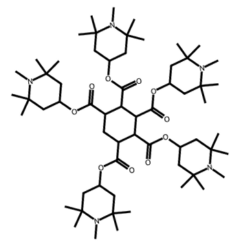 CN1C(C)(C)CC(OC(=O)C2CC(C(=O)OC3CC(C)(C)N(C)C(C)(C)C3)C(C(=O)OC3CC(C)(C)N(C)C(C)(C)C3)C(C(=O)OC3CC(C)(C)N(C)C(C)(C)C3)C2C(=O)OC2CC(C)(C)N(C)C(C)(C)C2)CC1(C)C